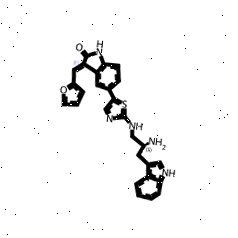 N[C@H](CNc1ncc(-c2ccc3c(c2)/C(=C\c2ccco2)C(=O)N3)s1)Cc1c[nH]c2ccccc12